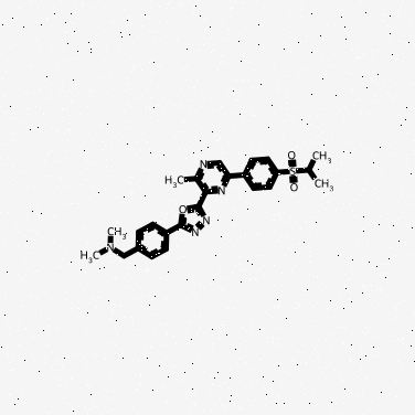 Cc1ncc(-c2ccc(S(=O)(=O)C(C)C)cc2)nc1-c1nnc(-c2ccc(CN(C)C)cc2)o1